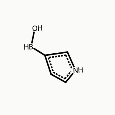 OBc1cc[nH]c1